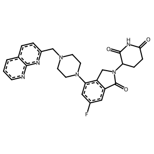 O=C1CCC(N2Cc3c(cc(F)cc3N3CCN(Cc4ccc5cccnc5n4)CC3)C2=O)C(=O)N1